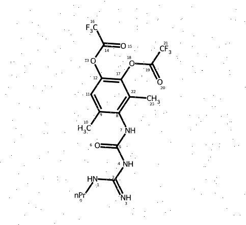 CCCNC(=N)NC(=O)Nc1c(C)cc(OC(=O)C(F)(F)F)c(OC(=O)C(F)(F)F)c1C